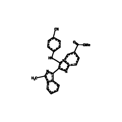 COC(=O)c1ccc2nc(-c3nc(C)n4ccccc34)c(Nc3ccc(C#N)cc3)n2c1